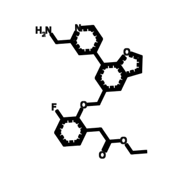 CCOC(=O)Cc1cccc(F)c1OCc1cc(-c2ccnc(CN)c2)c2occc2c1